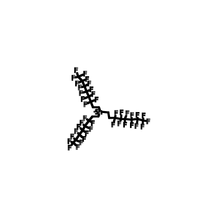 FC(F)(F)C(F)(F)C(F)(F)C(F)(F)C(F)(F)C(F)(F)C[CH2][Sn]([CH2]CC(F)(F)C(F)(F)C(F)(F)C(F)(F)C(F)(F)C(F)(F)F)[CH2]CC(F)(F)C(F)(F)C(F)(F)C(F)(F)C(F)(F)C(F)(F)F